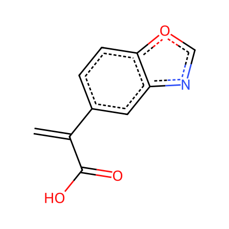 C=C(C(=O)O)c1ccc2ocnc2c1